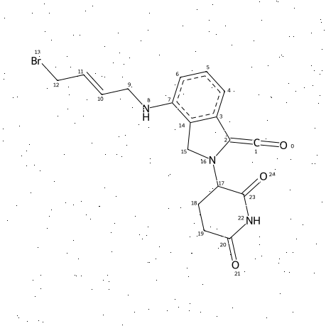 O=C=C1c2cccc(NC/C=C/CBr)c2CN1C1CCC(=O)NC1=O